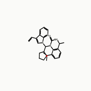 C=Cc1cn(C(C2CCCC2)N(C(N)=O)c2c(C(C)C)cccc2C(C)C)c2ncccc12